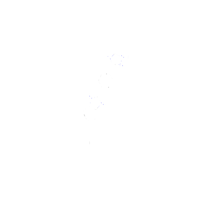 CCOc1cc2c3c(c1)nc(-c1ccc(-c4nc[nH]n4)c(F)c1)n3CCCCO2